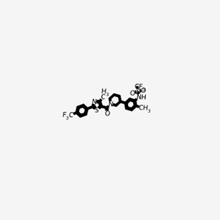 Cc1ccc(C2CCCN(C(=O)c3sc(-c4ccc(C(F)(F)F)cc4)nc3C)C2)cc1NS(=O)(=O)C(F)(F)F